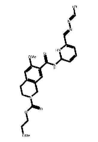 CCC/C=N/N=C/C1=CC=CC(NC(=O)c2cc3c(cc2OC)CCN(C(=O)OCCOC)C3)N1